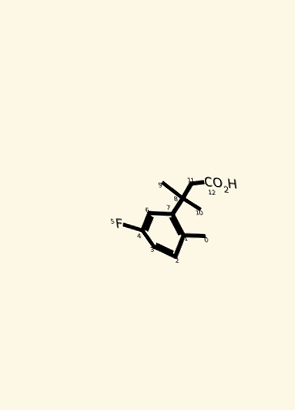 Cc1ccc(F)cc1C(C)(C)CC(=O)O